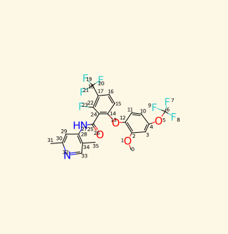 COc1cc(OC(F)(F)F)ccc1Oc1ccc(C(F)(F)F)c(F)c1C(=O)Nc1cc(C)ncc1C